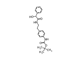 CC(C)(C)OC(=O)Nc1ccc(CCNC(=O)C(O)c2ccccc2)cc1